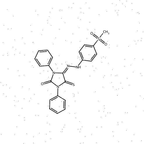 CS(=O)(=O)c1ccc(NN=C2C(=S)N(c3ccccc3)C(=O)N2c2ccccc2)cc1